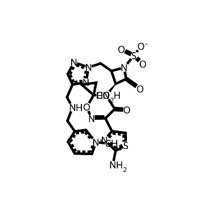 C[n+]1cccc(CNCc2cnn(CC3[C@H](NC(=O)C(=NOC4(C(=O)O)CC4)c4csc(N)n4)C(=O)N3S(=O)(=O)[O-])n2)c1